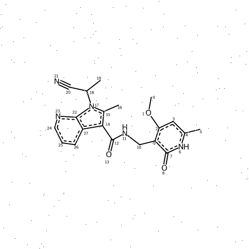 COc1cc(C)[nH]c(=O)c1CNC(=O)c1c(C)n(C(C)C#N)c2ncccc12